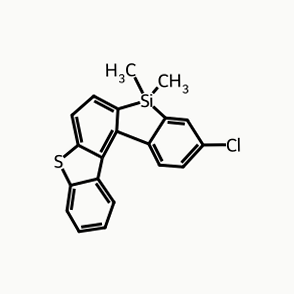 C[Si]1(C)c2cc(Cl)ccc2-c2c1ccc1sc3ccccc3c21